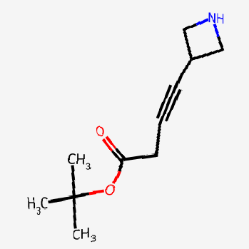 CC(C)(C)OC(=O)CC#CC1CNC1